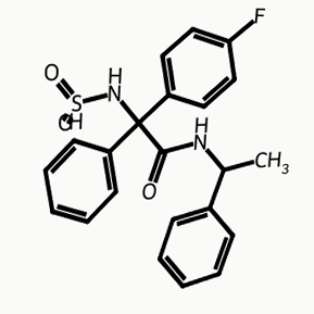 CC(NC(=O)C(N[SH](=O)=O)(c1ccccc1)c1ccc(F)cc1)c1ccccc1